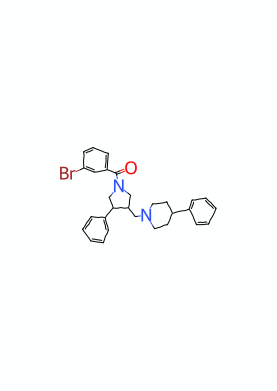 O=C(c1cccc(Br)c1)N1CC(CN2CCC(c3ccccc3)CC2)C(c2ccccc2)C1